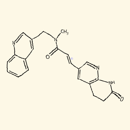 CN(Cc1cnc2ccccc2c1)C(=O)/C=C/c1cnc2c(c1)CCC(=O)N2